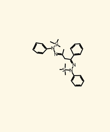 C/C(C/C(=N\N(c1ccccc1)[Si](C)(C)C)c1ccccc1)=N\N(c1ccccc1)[Si](C)(C)C